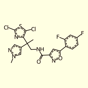 Cn1cc(C(C)(CNC(=O)c2cc(-c3ccc(F)cc3F)on2)c2nc(Cl)sc2Cl)cn1